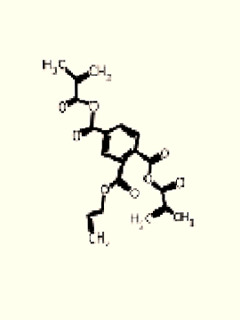 C=CCOC(=O)c1cc(C(=O)OC(=O)C(=C)C)ccc1C(=O)OC(=O)C(=C)C